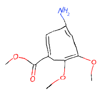 COC(=O)c1cc(N)cc(OC)c1OC